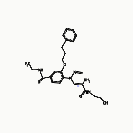 C=NN(/C=C(\N)C(=O)NCCO)c1ccc(C(=O)NCC(F)(F)F)cc1OCCCc1ccccc1